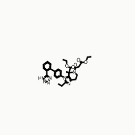 CCOC(=O)CC(=O)N1CCc2nc(CC)n(-c3ccc(-c4ccccc4-c4nnn[nH]4)cc3)c2C1(C)C(=O)OCC